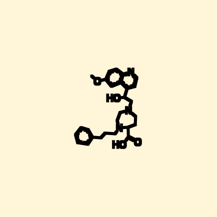 COc1ccc2nccc(C(O)CN3CCC(C(=O)O)N(CCCc4ccccc4)CC3)c2c1